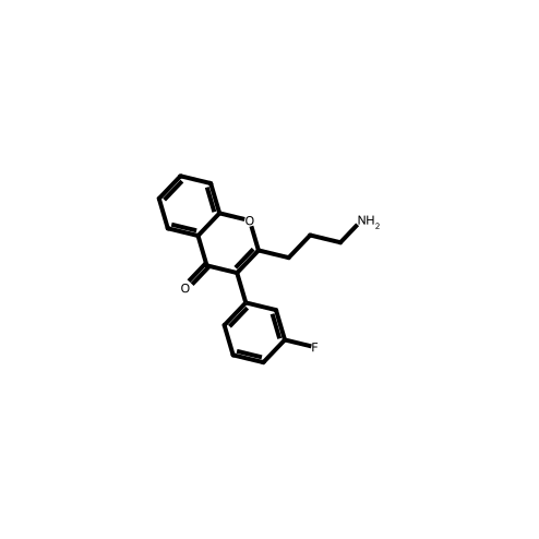 NCCCc1oc2ccccc2c(=O)c1-c1cccc(F)c1